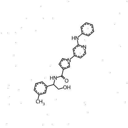 Cc1cccc(C(CO)NC(=O)c2ccn(-c3ccnc(Nc4ccccc4)c3)c2)c1